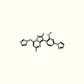 COc1cc(-n2cccn2)ccc1-c1c(C)nn2c(Cn3ccnc3)cc(C)nc12